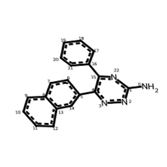 Nc1nnc(-c2ccc3ccccc3c2)c(-c2ccccc2)n1